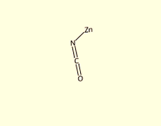 O=C=[N][Zn]